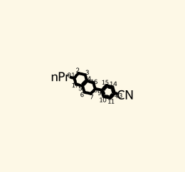 CCCC1CCC2=C(CCC(c3ccc(C#N)cc3)C2)C1